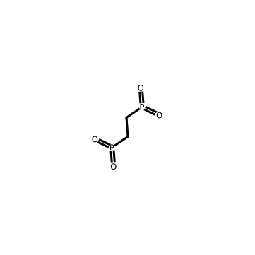 O=P(=O)CCP(=O)=O